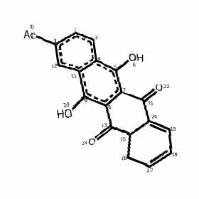 CC(=O)c1ccc2c(O)c3c(c(O)c2c1)C(=O)C1CC=CC=C1C3=O